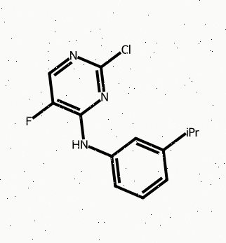 CC(C)c1cccc(Nc2nc(Cl)ncc2F)c1